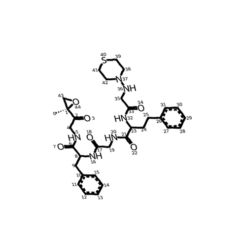 C[C@]1(C(=O)CNC(=O)C(Cc2ccccc2)NC(=O)CNC(=O)C(CCc2ccccc2)NC(=O)CNN2CCSCC2)CO1